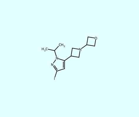 CC(C)n1nc(I)cc1C1CN(C2COC2)C1